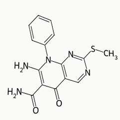 CSc1ncc2c(=O)c(C(N)=O)c(N)n(-c3ccccc3)c2n1